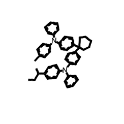 CCC(C)c1ccc(N(c2ccccc2)c2ccc(C3(c4ccc(N(c5ccccc5)c5ccc(C)cc5)cc4)CCCCC3)cc2)cc1